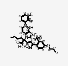 CCCCC(C(=O)O)(c1cc(-c2ccc(OCCC)cc2C(F)(F)F)no1)n1cnc2c1C=CN(c1cccc(F)c1F)N2